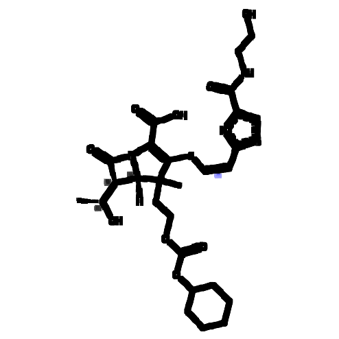 C[C@@H](O)[C@H]1C(=O)N2C(C(=O)O)=C(S/C=C\c3nc(C(=O)NCCO)cs3)C(C)(CCOC(=O)OC3CCCCC3)[C@H]12